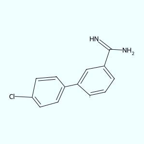 N=C(N)c1cc[c]c(-c2ccc(Cl)cc2)c1